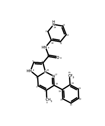 CC1=CC2NC=C(C(=O)NC3=CC=CNC3)N2N=C1c1ccccc1C(F)(F)F